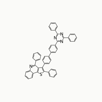 c1ccc(-c2nc(-c3ccccc3)nc(-c3ccc(-c4ccc(-c5c(-c6ccccc6)sc6c5c(-c5ccccc5)nc5ccccc56)cc4)cc3)n2)cc1